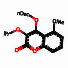 CCCCCCCCCCOc1c(OC(C)C)c(=O)oc2cccc(OC)c12